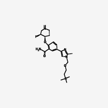 Cc1nc(-c2ccc(O[C@@H]3CCNC[C@@H]3F)c(C(N)=O)c2)cn1COCC[Si](C)(C)C